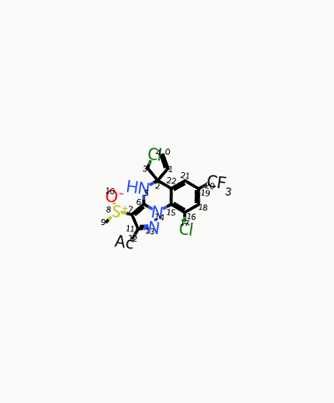 C=CC1(CCl)Nc2c([S+](C)[O-])c(C(C)=O)nn2-c2c(Cl)cc(C(F)(F)F)cc21